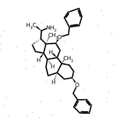 C[C@@H](N)[C@H]1CC[C@H]2[C@@H]3CC[C@@H]4C[C@H](OCc5ccccc5)CC[C@]4(C)[C@H]3C[C@H](OCc3ccccc3)[C@]12C